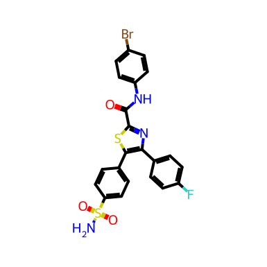 NS(=O)(=O)c1ccc(-c2sc(C(=O)Nc3ccc(Br)cc3)nc2-c2ccc(F)cc2)cc1